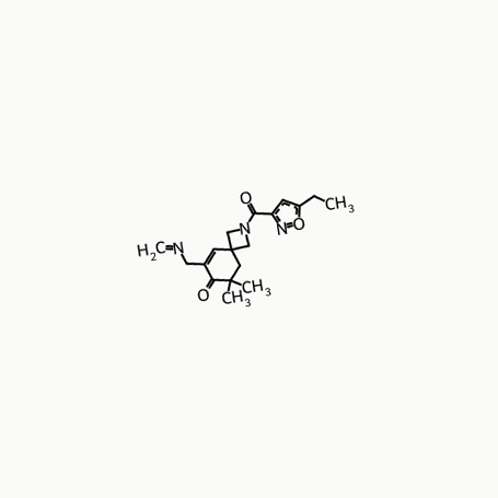 C=NCC1=CC2(CN(C(=O)c3cc(CC)on3)C2)CC(C)(C)C1=O